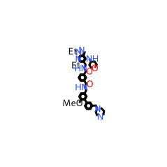 CCc1nc2c(cnn2CC)c(NC2CCOCC2)c1CNC(=O)c1cccc(C(=O)NCc2ccc(OC)c(-c3cccc(CN4CCCN(C)CC4)c3)c2)c1